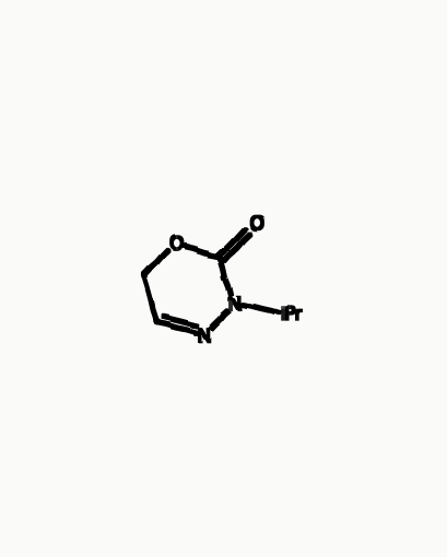 CC(C)N1N=CCOC1=O